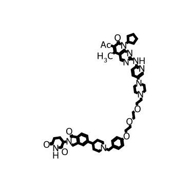 CC(=O)c1c(C)c2cnc(Nc3ccc(N4CCN(CCOCCOCCOc5ccc(CN6CCC(c7ccc8c(c7)CN(C7CCC(=O)NC7=O)C8=O)CC6)cc5)CC4)cn3)nc2n(C2CCCC2)c1=O